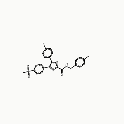 Cc1ccc(CNC(=O)c2nc(-c3ccc(S(C)(=O)=O)cc3)c(-c3ccc(F)cc3)s2)cc1